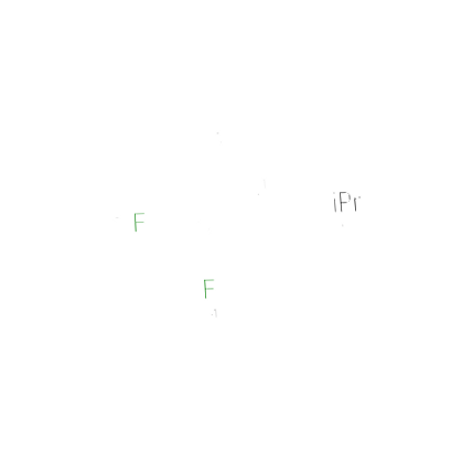 CC(C)C1CC1(F)F